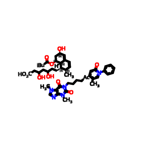 CC(=O)CCCCn1c(=O)c2c(ncn2C)n(C)c1=O.CCC(C)C(=O)O[C@H]1C[C@H](O)C=C2C=C[C@H](C)[C@H](CCC(O)CC(O)CC(=O)O)[C@H]21.Cc1ccc(=O)n(-c2ccccc2)c1